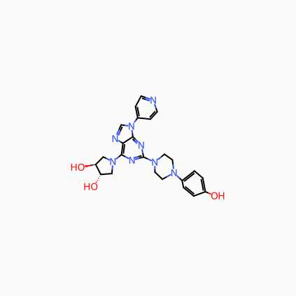 Oc1ccc(N2CCN(c3nc(N4C[C@H](O)[C@@H](O)C4)c4ncn(-c5ccncc5)c4n3)CC2)cc1